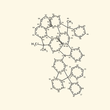 CC1(C)c2cc(N(c3ccc4c(c3)C(c3ccccc3)(c3ccccc3)c3ccccc3-4)c3ccccc3-c3ccc4c(c3)C(C)(c3ccccc3)c3ccccc3-4)ccc2-c2c1ccc1ccccc21